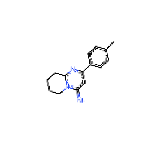 Cc1ccc(-c2cc(=N)n3c(n2)CCCC3)cc1